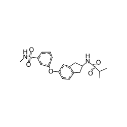 CNS(=O)(=O)c1cccc(Oc2ccc3c(c2)CC(NS(=O)(=O)C(C)C)C3)c1